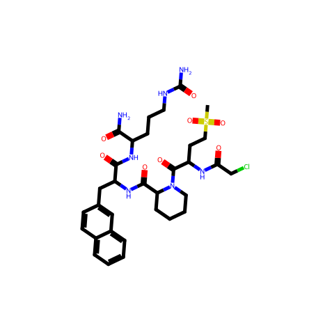 CS(=O)(=O)CCC(NC(=O)CCl)C(=O)N1CCCCC1C(=O)NC(Cc1ccc2ccccc2c1)C(=O)NC(CCCNC(N)=O)C(N)=O